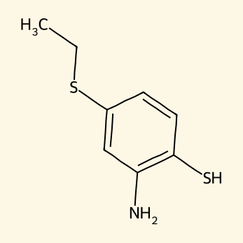 CCSc1ccc(S)c(N)c1